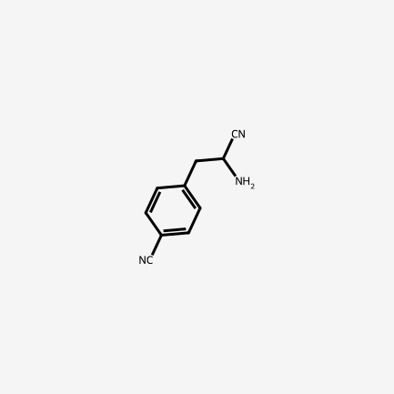 N#Cc1ccc(CC(N)C#N)cc1